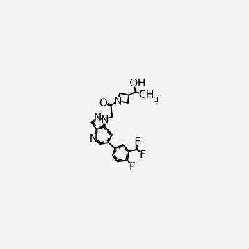 CC(O)C1CN(C(=O)Cn2ncc3ncc(-c4ccc(F)c(C(F)F)c4)cc32)C1